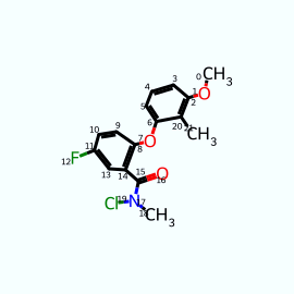 COc1cccc(Oc2ccc(F)cc2C(=O)N(C)Cl)c1C